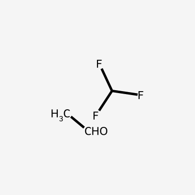 CC=O.FC(F)F